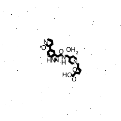 COc1ncccc1-c1ccc2[nH]nc(C(=O)NCC3CCN(Cc4ccc(C(=O)O)o4)CC3)c2c1.O